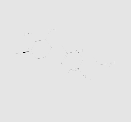 NC(=O)[C@@H](CCO)NC(=O)C[C@@H]1OC[C@@H](O)[C@H](O)C1O